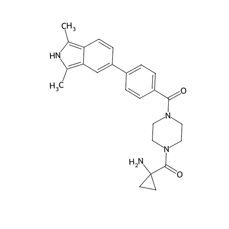 Cc1[nH]c(C)c2cc(-c3ccc(C(=O)N4CCN(C(=O)C5(N)CC5)CC4)cc3)ccc12